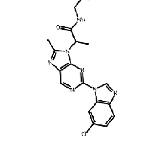 Cc1nc2cnc(-n3cnc4ccc(Cl)cc43)nc2n1[C@H](C)C(=O)NCC(F)(F)F